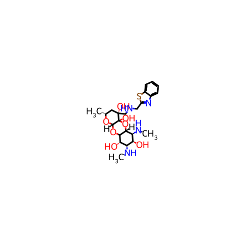 CN[C@@H]1[C@H](O)[C@H](NC)[C@H]2O[C@]3(O)[C@H](OC2[C@H]1O)O[C@H](C)C[C@@]3(O)CNCc1nc2ccccc2s1